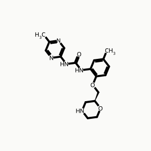 Cc1ccc(OC[C@@H]2CNCCO2)c(NC(=O)Nc2cnc(C)cn2)c1